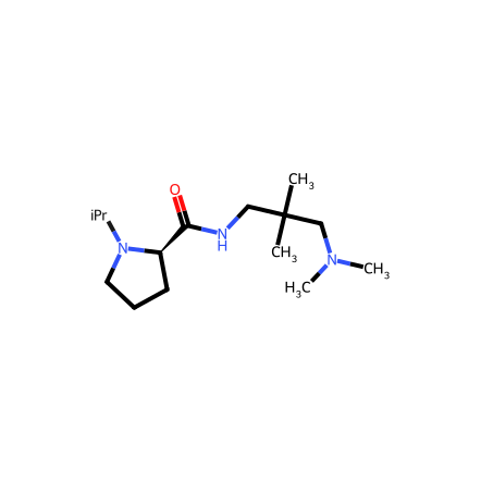 CC(C)N1CCC[C@@H]1C(=O)NCC(C)(C)CN(C)C